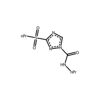 CCCNC(=O)n1cnc(S(=O)(=O)CCC)n1